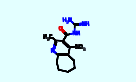 Cc1nc2c(c([N+](=O)[O-])c1C(=O)NC(=N)N)CCCCC2